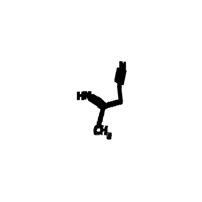 CC(=N)CC#N